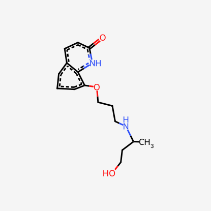 CC(CCO)NCCCOc1cccc2ccc(=O)[nH]c12